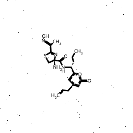 C=CCc1cc([C@@H](CCC)NC(=O)[C@]2(N)CSC(/C(C)=N/O)=N2)oc(=O)c1